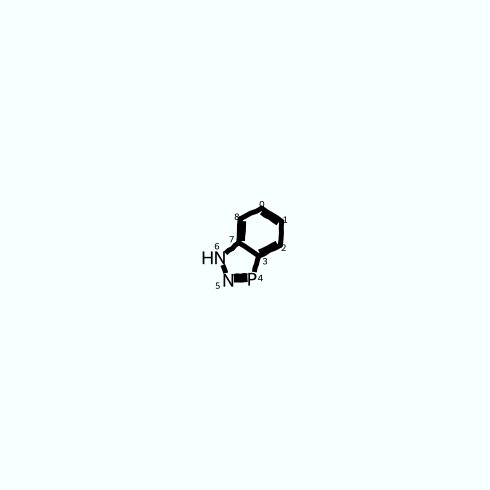 c1ccc2pn[nH]c2c1